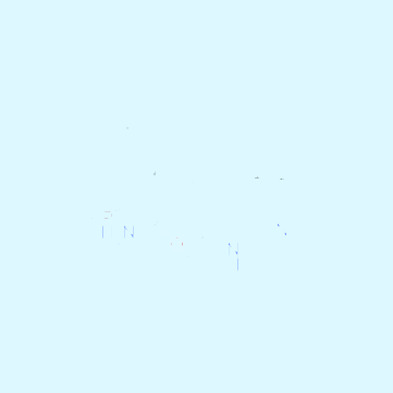 NC(=O)/C(=C\c1c[nH]c2ncccc12)c1ccccc1Br